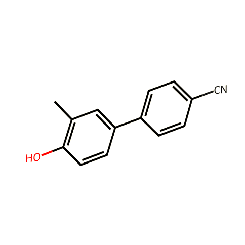 Cc1cc(-c2ccc(C#N)cc2)ccc1O